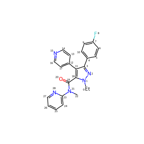 CCn1nc(-c2ccc(F)cc2)c(-c2ccncc2)c1C(=O)N(C)c1ccccn1